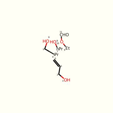 C=CCO.CC(C)CO.CCCO.CCOC=O